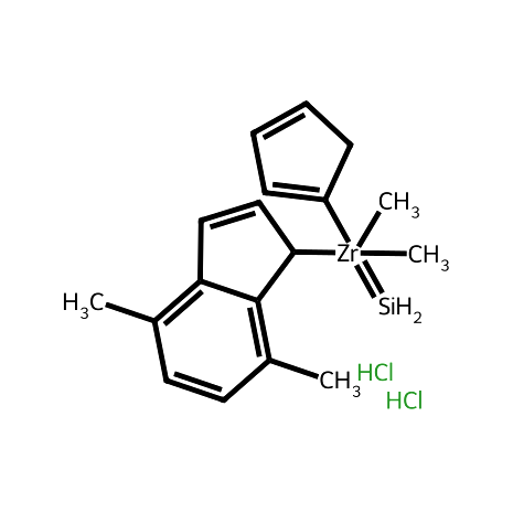 Cc1ccc(C)c2c1C=C[CH]2[Zr]([CH3])([CH3])(=[SiH2])[C]1=CC=CC1.Cl.Cl